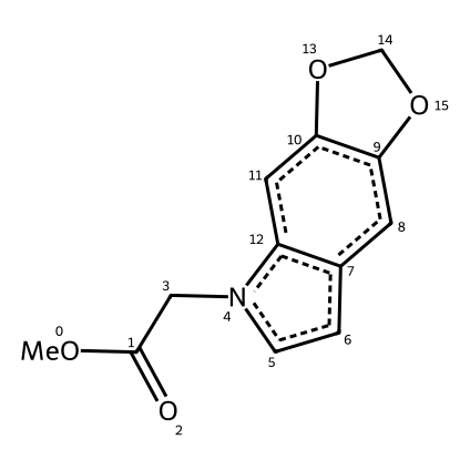 COC(=O)Cn1ccc2cc3c(cc21)OCO3